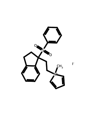 C[N+]1(CCC2(S(=O)(=O)c3ccccc3)CCc3ccccc32)C=CC=C1.[I-]